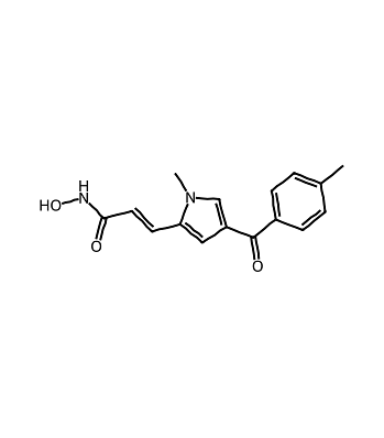 Cc1ccc(C(=O)c2cc(C=CC(=O)NO)n(C)c2)cc1